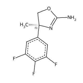 C[C@]1(c2cc(F)c(F)c(F)c2)COC(N)=N1